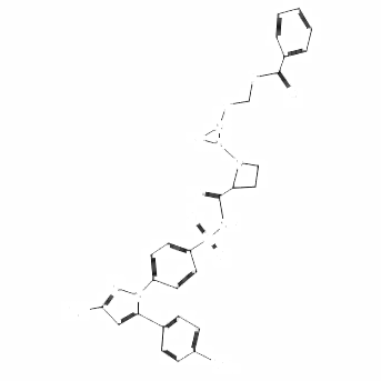 Cc1ccc(-c2cc(C(F)(F)F)nn2-c2ccc(S(=O)(=O)NC(=O)C3CCN3n3on3OCOC(=O)c3ccccc3)cc2)cc1